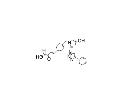 O=C(C=Cc1ccc(CN2C[C@H](O)C[C@@H]2Cn2cc(-c3ccccc3)nn2)cc1)NO